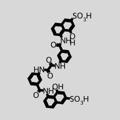 O=C(Nc1cccc(C(=O)Nc2cccc3cc(S(=O)(=O)O)cc(O)c23)c1)C(=O)Nc1cccc(C(=O)Nc2cccc3cc(S(=O)(=O)O)cc(O)c23)c1